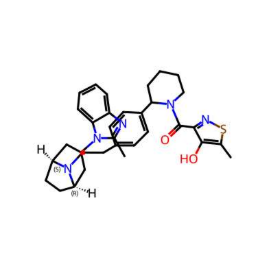 Cc1snc(C(=O)N2CCCCC2c2ccc(CCN3[C@@H]4CC[C@H]3CC(n3c(C)nc5ccccc53)C4)cc2)c1O